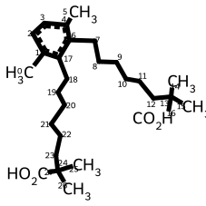 Cc1ccc(C)c(CCCCCCC(C)(C)C(=O)O)c1CCCCCCC(C)(C)C(=O)O